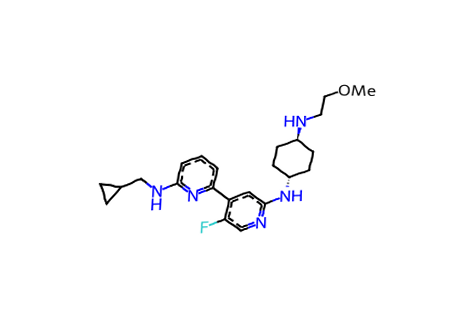 COCCN[C@H]1CC[C@H](Nc2cc(-c3cccc(NCC4CC4)n3)c(F)cn2)CC1